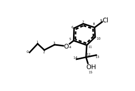 CCCCOc1ccc(Cl)cc1C(C)(C)O